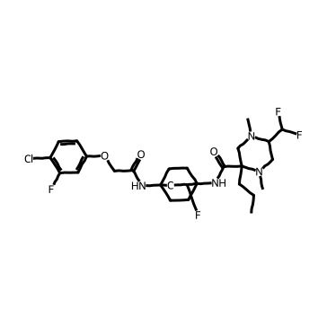 CCCC1(C(=O)NC23CCC(NC(=O)COc4ccc(Cl)c(F)c4)(CC2)CC3F)CN(C)C(C(F)F)CN1C